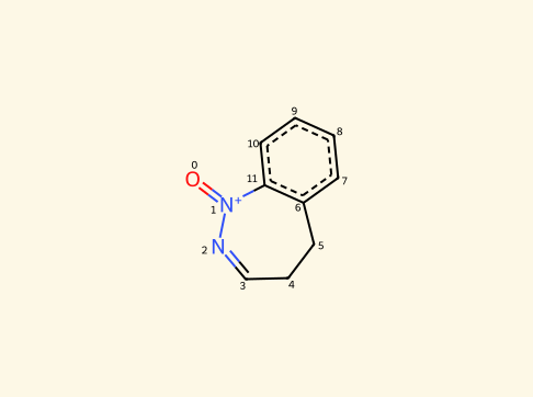 O=[N+]1N=CCCc2ccccc21